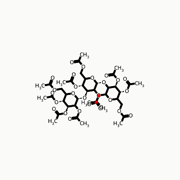 CC(=O)OCC1OC(OC(C)=O)C(O[C@H]2OC(COC(C)=O)[C@@H](OC(C)=O)[C@H](O[C@H]3OC(COC(C)=O)[C@@H](OC(C)=O)[C@H](OC(C)=O)C3OC(C)=O)C2OC(C)=O)[C@@H](OC(C)=O)[C@@H]1OC(C)=O